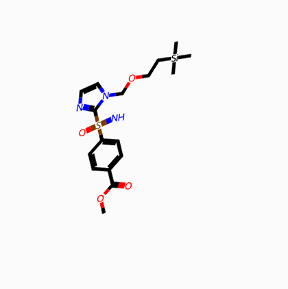 COC(=O)c1ccc(S(=N)(=O)c2nccn2COCC[Si](C)(C)C)cc1